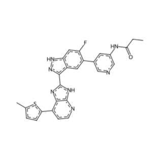 CCC(=O)Nc1cncc(-c2cc3c(-c4nc5c(-c6ccc(C)s6)ccnc5[nH]4)n[nH]c3cc2F)c1